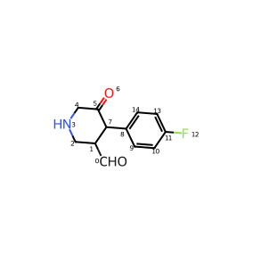 O=CC1CNCC(=O)C1c1ccc(F)cc1